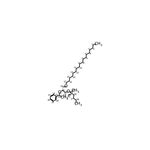 CCCCCCCCCCCCCCCCCCOC[C@H](CO[Si](C)(C)CCCC)OC(C)c1ccccc1